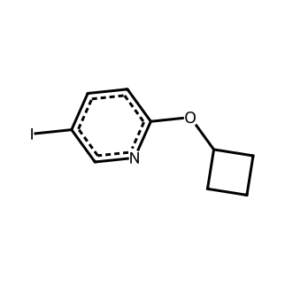 Ic1ccc(OC2CCC2)nc1